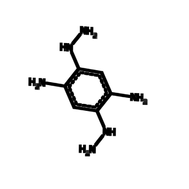 NNc1cc(N)c(NN)cc1N